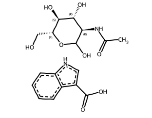 CC(=O)N[C@H]1C(O)O[C@H](CO)[C@@H](O)[C@@H]1O.O=C(O)c1c[nH]c2ccccc12